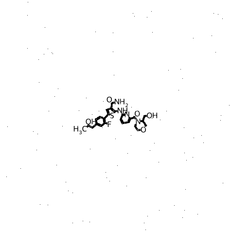 CC(O)Cc1ccc(-c2cc(C(N)=O)c(Nc3cccc(C(=O)N4CCOCC4CO)n3)s2)c(F)c1